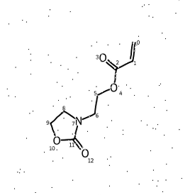 C=CC(=O)OCCN1CCOC1=O